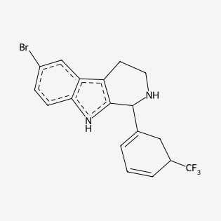 FC(F)(F)C1C=CC=C(C2NCCc3c2[nH]c2ccc(Br)cc32)C1